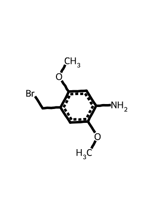 COc1cc(CBr)c(OC)cc1N